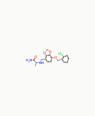 CC(NCc1ccc(OCc2ccccc2Cl)c2c1OCO2)C(N)=O